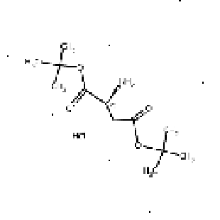 CC(C)(C)OC(=O)C[C@H](N)C(=O)OC(C)(C)C.Cl